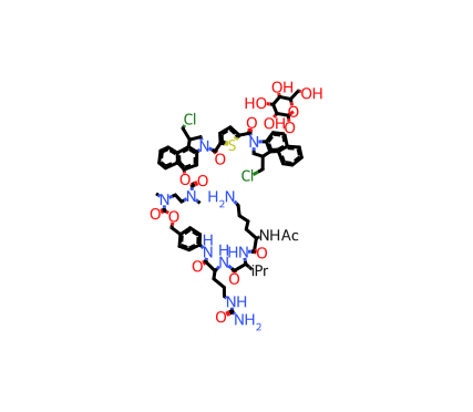 CC(=O)NC(CCCCN)C(=O)NC(C(=O)NC(CCCNC(N)=O)C(=O)Nc1ccc(COC(=O)N(C)CCN(C)C(=O)Oc2cc3c(c4ccccc24)C(CCl)CN3C(=O)c2ccc(C(=O)N3CC(CCl)c4c3cc(OC3OC(CO)C(O)C(O)C3O)c3ccccc43)s2)cc1)C(C)C